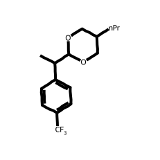 CCCC1COC(C(C)c2ccc(C(F)(F)F)cc2)OC1